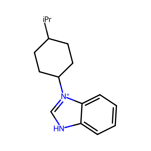 CC(C)C1CCC([n+]2c[nH]c3ccccc32)CC1